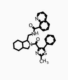 Cc1nc(C(=O)N2CC3CCCCC3C2CNC(=O)c2cccc3cccnc23)c(-c2ccccc2)s1